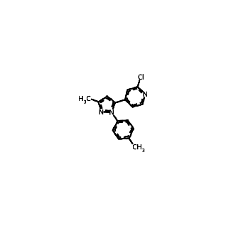 Cc1ccc(-n2nc(C)cc2-c2ccnc(Cl)c2)cc1